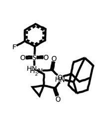 NC(=O)OC12CC3CC(C1)C(NC(=O)C1(CNS(=O)(=O)c4ccccc4F)CC1)C(C3)C2